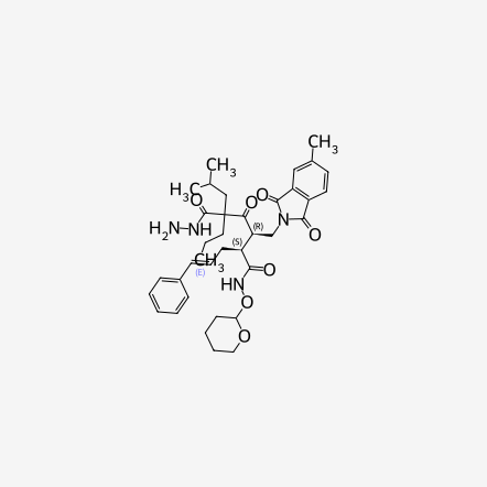 CCCC(CC(C)C)(C(=O)NN)C(=O)[C@@H](CN1C(=O)c2ccc(C)cc2C1=O)[C@H](C/C=C/c1ccccc1)C(=O)NOC1CCCCO1